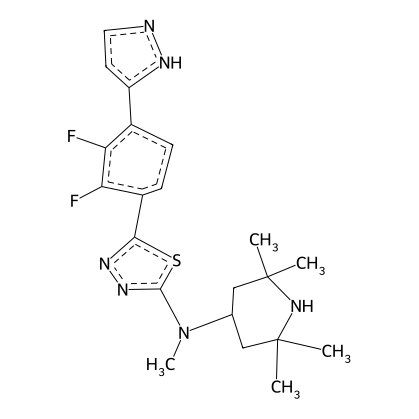 CN(c1nnc(-c2ccc(-c3ccn[nH]3)c(F)c2F)s1)C1CC(C)(C)NC(C)(C)C1